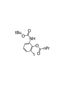 CCCC(=O)Oc1c(I)cccc1NC(=O)OC(C)(C)C